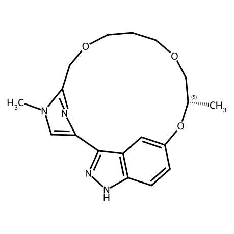 C[C@H]1COCCCOCc2nc(cn2C)-c2n[nH]c3ccc(cc23)O1